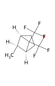 C[C@H]1[C@H]2CC[C@@H]1C2(C(F)(F)F)C(F)(F)F